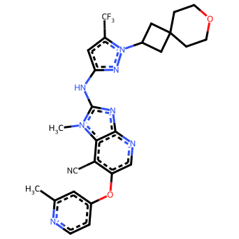 Cc1cc(Oc2cnc3nc(Nc4cc(C(F)(F)F)n(C5CC6(CCOCC6)C5)n4)n(C)c3c2C#N)ccn1